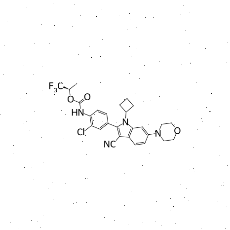 C[C@@H](OC(=O)Nc1ccc(-c2c(C#N)c3ccc(N4CCOCC4)cc3n2C2CCC2)cc1Cl)C(F)(F)F